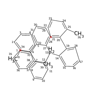 Cc1ccccc1-c1ccccc1[PH2](c1ccccc1-c1ccccc1C)c1ccccc1-c1ccccc1C